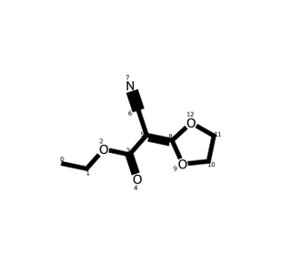 CCOC(=O)C(C#N)=C1OCCO1